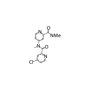 CNC(=O)c1cc(N(C)C(=O)c2cc(Cl)ccn2)ccn1